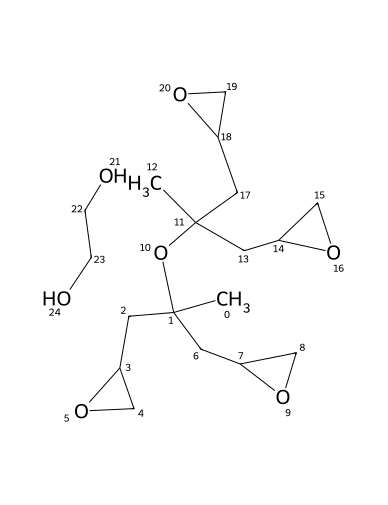 CC(CC1CO1)(CC1CO1)OC(C)(CC1CO1)CC1CO1.OCCO